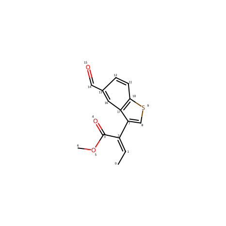 CC=C(C(=O)OC)c1csc2ccc(C=O)cc12